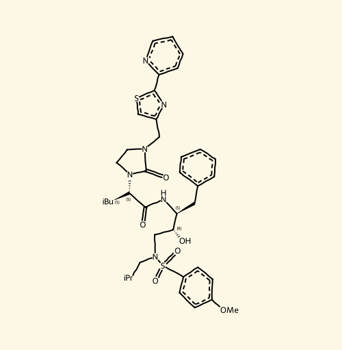 CC[C@H](C)[C@@H](C(=O)N[C@@H](Cc1ccccc1)[C@H](O)CN(CC(C)C)S(=O)(=O)c1ccc(OC)cc1)N1CCN(Cc2csc(-c3ccccn3)n2)C1=O